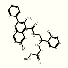 Cc1c(-c2ccccc2)nc2ccc(Br)cc2c1C(=O)NCC(NCC(=O)OC(C)(C)C)c1ccccc1Cl